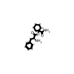 NC(=O)C1(OC(=O)[C@@H](N)Cc2ccccc2)CCCCC1